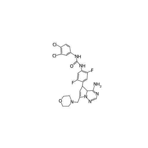 NC1=NC=NN2C(CN3CCOCC3)=CC(c3cc(F)c(NC(=O)Nc4ccc(Cl)c(Cl)c4)cc3F)C12